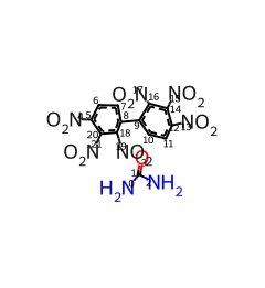 NC(N)=O.O=[N+]([O-])c1ccc(-c2ccc([N+](=O)[O-])c([N+](=O)[O-])c2[N+](=O)[O-])c([N+](=O)[O-])c1[N+](=O)[O-]